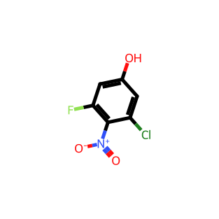 O=[N+]([O-])c1c(F)cc(O)cc1Cl